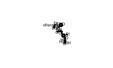 CCCCCC(C(=O)NCNC(=O)c1ccc(-c2ccc(C(=O)NCP(=O)(O)O)c(OCC)c2)o1)C(CC)N(C=O)OC(=O)c1ccccc1